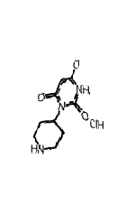 Cl.O=c1cc(Cl)[nH]c(=O)n1C1CCNCC1